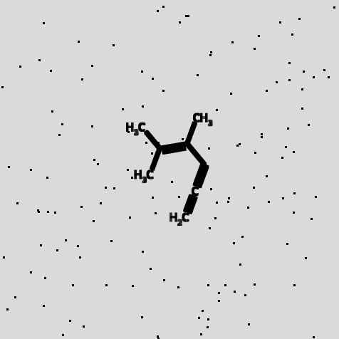 C=C=CC(C)=C(C)C